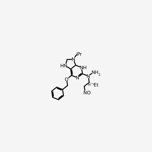 CC[C@H](CN=O)N(N)C1=NC(OCc2ccccc2)=C2NCN(C(C)C)C2N1